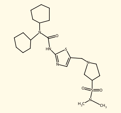 CN(C)S(=O)(=O)C1CCN(Cc2cnc(NC(=O)N(C3CCCCC3)C3CCCCC3)s2)C1